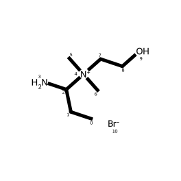 CCC(N)[N+](C)(C)CCO.[Br-]